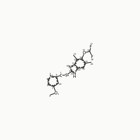 COc1ccnc(CSc2nc3c(C)c(OC(F)F)c(C)cc3[nH]2)c1